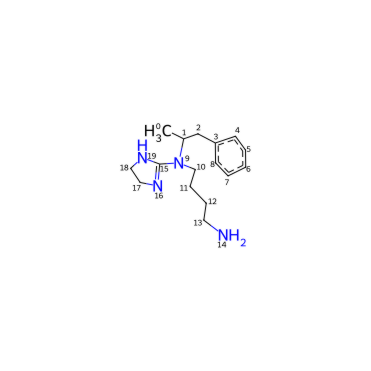 CC(Cc1ccccc1)N(CCCCN)C1=NCCN1